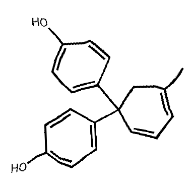 CC1=CC=CC(c2ccc(O)cc2)(c2ccc(O)cc2)C1